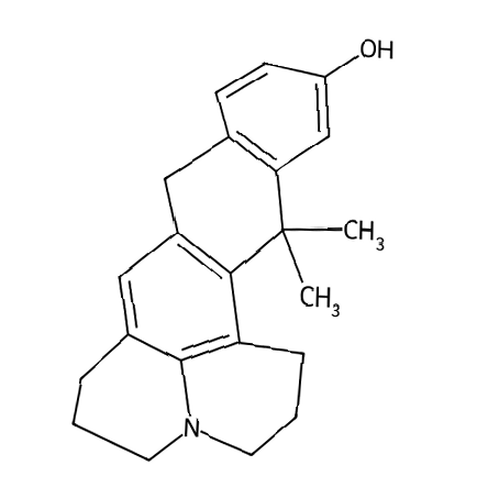 CC1(C)c2cc(O)ccc2Cc2cc3c4c(c21)CCCN4CCC3